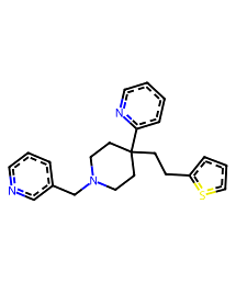 c1ccc(C2(CCc3cccs3)CCN(Cc3cccnc3)CC2)nc1